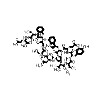 CC(C)[C@H](N)C(=O)N[C@H](C(=O)N[C@@H](Cc1ccc(O)cc1)C(=O)N[C@@H](CCC(=O)O)C(=O)N[C@@H](Cc1c[nH]c2ccccc12)C(=O)N1CCC[C@H]1C(=O)N[C@@H](CC(N)=O)C(=O)N[C@@H](CO)C(=O)NCC(=O)N[C@@H](Cc1ccccc1)C(=O)N[C@@H](CO)C(=O)N[C@@H](CCC(=O)O)C(=O)O)[C@@H](C)O